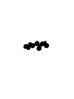 c1ccc(N(c2cccc(-c3ccc4c(c3)oc3c5ccccc5oc43)c2)c2ccc3sc4ccccc4c3c2)cc1